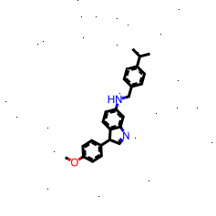 COc1ccc(C2C=Nc3cc(NCc4ccc(C(C)C)cc4)ccc32)cc1